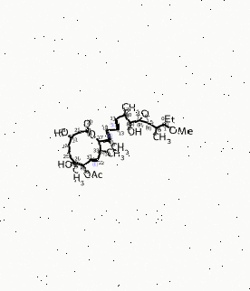 CC[C@H](OC)[C@@H](C)[C@H]1O[C@@H]1[C@@H](O)[C@H](C)/C=C/C=C(\C)C1OC(=O)C[C@H](O)CC[C@@](C)(O)[C@@H](OC(C)=O)/C=C/[C@@H]1C